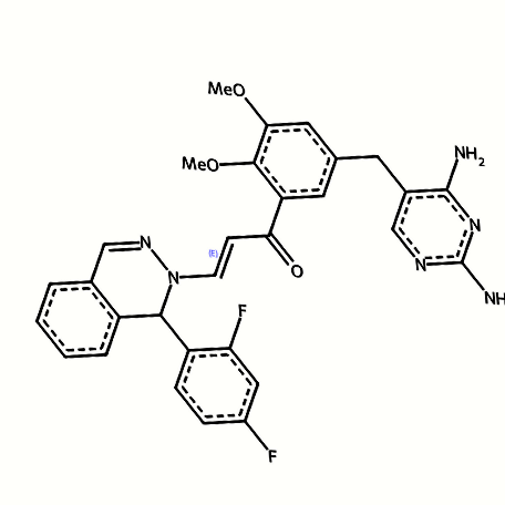 COc1cc(Cc2cnc(N)nc2N)cc(C(=O)/C=C/N2N=Cc3ccccc3C2c2ccc(F)cc2F)c1OC